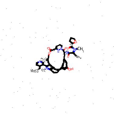 CCn1c(-c2cnccc2COC)c2c3cc(ccc31)-c1cc(O)cc(c1)C[C@H](NC(=O)C(C(C)C)N(C)C(=O)[C@@H]1CCCO1)C(=O)N1CCC[C@H](N1)C(=O)OCC(C)(C)C2